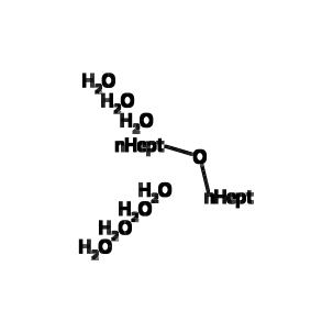 CCCCCCCOCCCCCCC.O.O.O.O.O.O.O